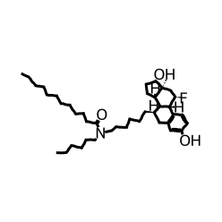 CCCCCCCCCCCC(=O)N(CCCCCC)CCCCCC[C@@H]1Cc2cc(O)ccc2[C@@H]2[C@@H]1[C@@H]1CC[C@H](O)[C@@]1(C)C[C@@H]2F